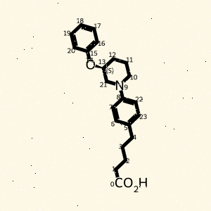 O=C(O)CCCCc1ccc(N2CCC[C@H](Oc3ccccc3)C2)cc1